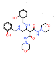 O=C(NN1CCOCC1)C(C(=O)NN1CCOCC1)C(CNCc1ccccc1O)NCc1ccccc1O